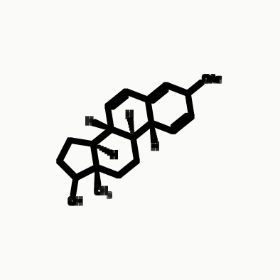 CC(=O)OC1C=C[C@H]2C(=C1)C=C[C@@H]1[C@@H]2CC[C@]2(C)C(O)CC[C@@H]12